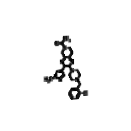 CC(=O)N1CCc2nc(N3CCN(Cc4ccccc4Cl)CC3)c(-c3cnn(C)c3)nc2C1